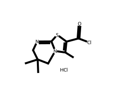 CC1=C(C(=O)Cl)SC2=NCC(C)(C)CN21.Cl